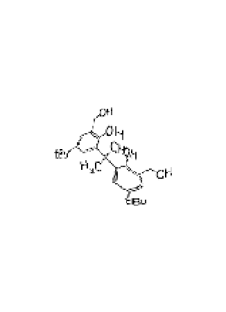 CC(C)(C)c1cc(CO)c(O)c(C(C)(C)c2cc(C(C)(C)C)cc(CO)c2O)c1